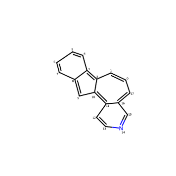 c1cc2c3ccccc3cc-2c2ccncc2c1